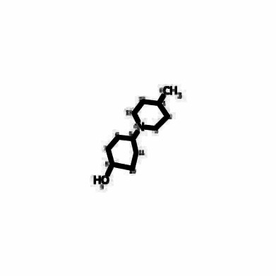 CC1CCN(C2CCC(O)CC2)CC1